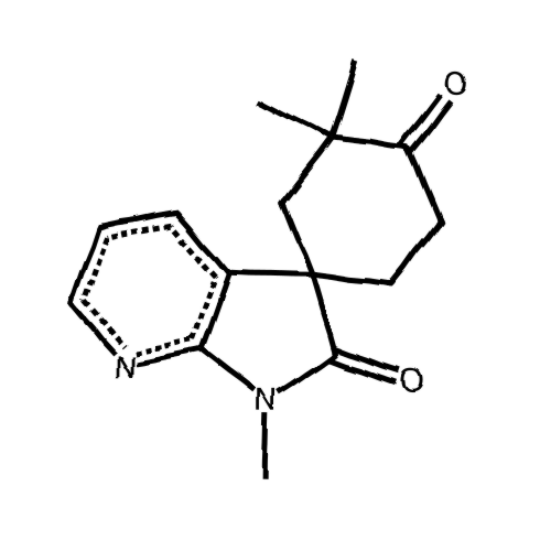 CN1C(=O)C2(CCC(=O)C(C)(C)C2)c2cccnc21